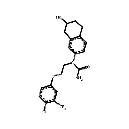 NC(=O)N(CCOc1ccc(Cl)c(C(F)(F)F)c1)c1ccc2c(c1)CC(O)CC2